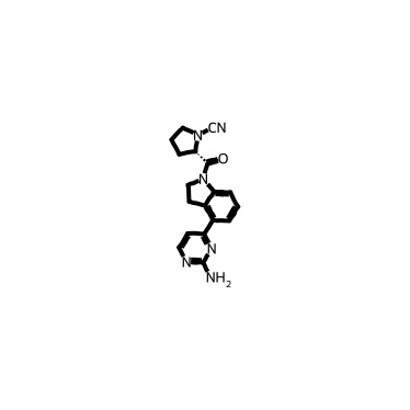 N#CN1CCC[C@H]1C(=O)N1CCc2c(-c3ccnc(N)n3)cccc21